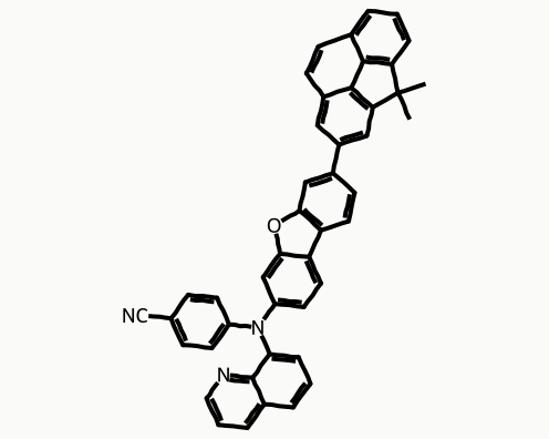 CC1(C)c2cccc3ccc4cc(-c5ccc6c(c5)oc5cc(N(c7ccc(C#N)cc7)c7cccc8cccnc78)ccc56)cc1c4c23